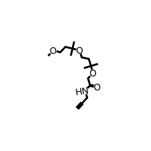 C#CCNC(=O)COC(C)(C)CCOC(C)(C)CCOC